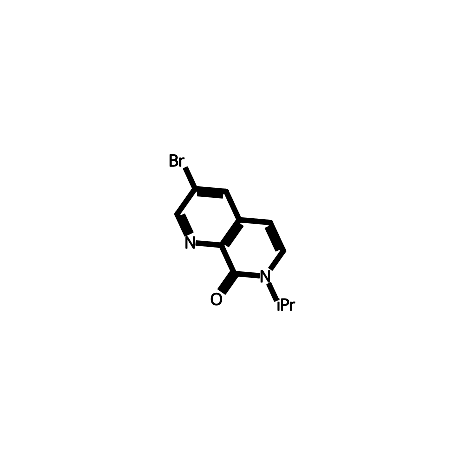 CC(C)n1ccc2cc(Br)cnc2c1=O